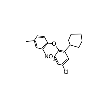 Cc1ccc(Oc2ccc(Cl)cc2C2CCCCC2)c([N+](=O)[O-])c1